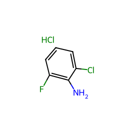 Cl.Nc1c(F)cccc1Cl